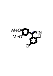 COc1ccc(/C(=C/C#N)c2cc(Cl)ccc2Cl)cc1OC